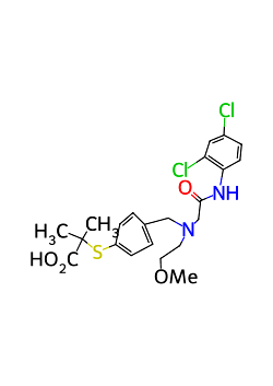 COCCN(CC(=O)Nc1ccc(Cl)cc1Cl)Cc1ccc(SC(C)(C)C(=O)O)cc1